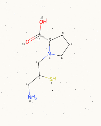 NCC(S)CN1CCC[C@H]1C(=O)O